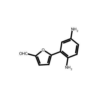 Nc1ccc(N)c(-c2ccc(C=O)o2)c1